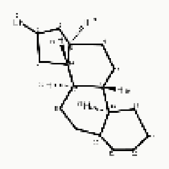 CCC1C[C@H]2CC[C@H]3[C@@H](CCC4CCCC[C@@H]43)[C@@H]2C1